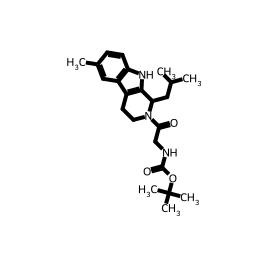 Cc1ccc2[nH]c3c(c2c1)CCN(C(=O)CNC(=O)OC(C)(C)C)C3CC(C)C